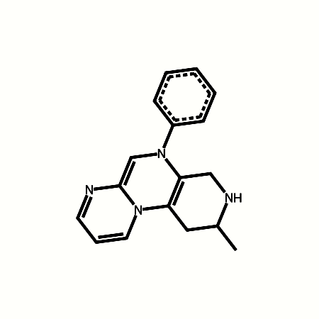 CC1CC2=C(CN1)N(c1ccccc1)C=C1N=CC=CN12